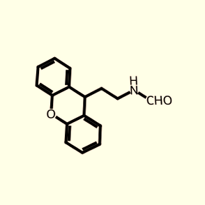 O=CNCCC1c2ccccc2Oc2ccccc21